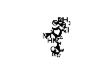 N#Cc1cc(S(N)(=O)=O)c(Cl)cc1NCc1ccco1